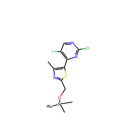 Cc1nc(CO[Si](C)(C)C(C)(C)C)sc1-c1nc(Cl)ncc1F